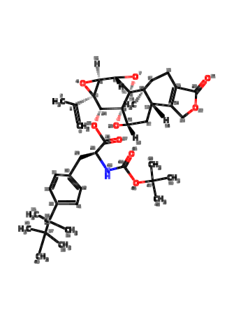 C=C(C)[C@]12O[C@H]1[C@@H]1O[C@]13[C@]1(O[C@H]1C[C@H]1C4=C(CC[C@@]13C)C(=O)OC4)[C@@H]2OC(=O)[C@H](Cc1ccc([Si](C)(C)C(C)(C)C)cc1)NC(=O)OC(C)(C)C